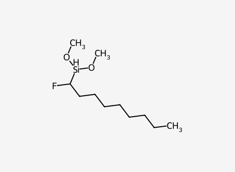 CCCCCCCCC(F)[SiH](OC)OC